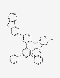 Cc1ccc2c(c1)c1ccccc1n2-c1ccc(-c2ccc3sc4ccccc4c3c2)cc1-c1nc(-c2ccccc2)nc(-c2ccccc2)n1